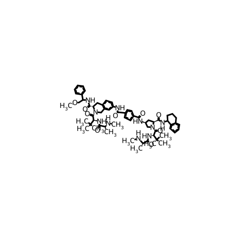 CN[C@@H](C)C(=O)N[C@H](C(=O)N1Cc2cc(NC(=O)c3ccc(C(=O)N[C@H]4C[C@@H](C(=O)NC5CCCc6ccccc65)N(C(=O)[C@@H](NC(=O)[C@H](C)NC)C(C)(C)C)C4)cc3)ccc2C[C@H]1C(=O)NC(COC)c1ccccc1)C(C)(C)C